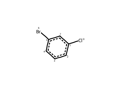 Clc1[c]ccc(Br)c1